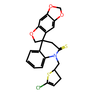 S=C1CC2(COc3cc4c(cc32)OCO4)c2ccccc2N1CC1CC=C(Cl)S1